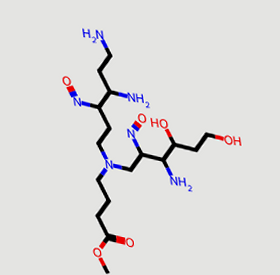 COC(=O)CCCN(CCC(N=O)C(N)CCN)CC(N=O)C(N)C(O)CCO